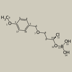 COc1ccc(COCC[C@@H](Cl)OB(O)O)cc1